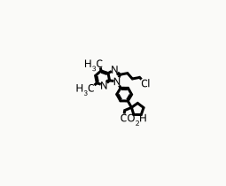 Cc1cc(C)c2nc(CCCCl)n(-c3ccc(C4(CC(=O)O)CCCC4)cc3)c2n1